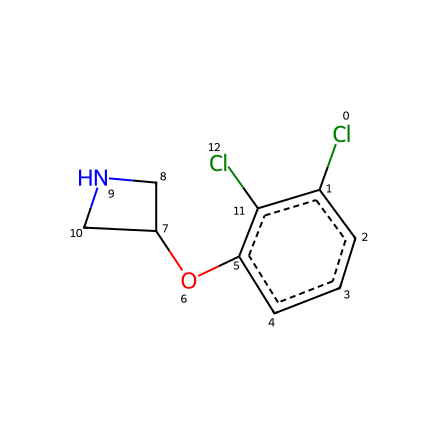 Clc1cccc(OC2CNC2)c1Cl